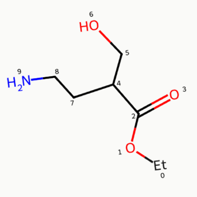 CCOC(=O)C(CO)CCN